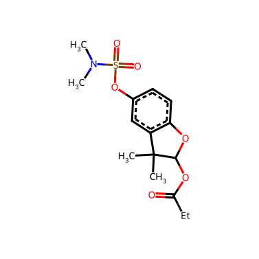 CCC(=O)OC1Oc2ccc(OS(=O)(=O)N(C)C)cc2C1(C)C